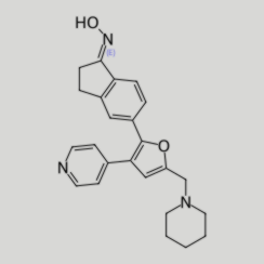 O/N=C1\CCc2cc(-c3oc(CN4CCCCC4)cc3-c3ccncc3)ccc21